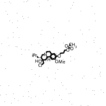 COc1cc2c(cc1OCCCOS(C)(=O)=O)CCN1C[C@@H](CC(C)C)C(O)(CCl)C[C@H]21